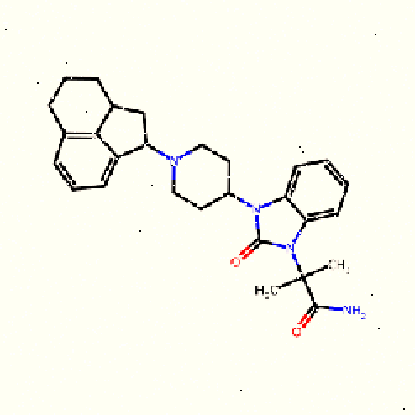 CC(C)(C(N)=O)n1c(=O)n(C2CCN(C3CC4CCCc5cccc3c54)CC2)c2ccccc21